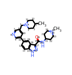 CC1CCN(Cc2cncc(-c3ccc4[nH]nc(C(=O)NC5CCN(C)CC5)c4c3)c2)CC1